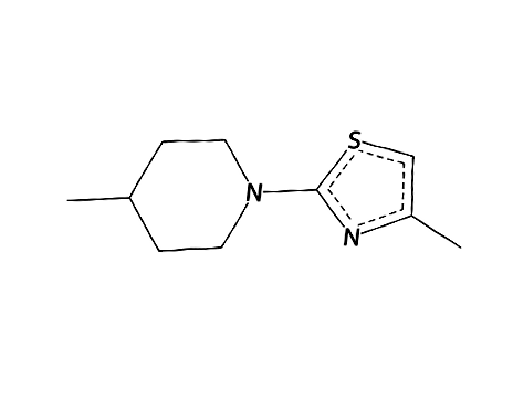 Cc1csc(N2CCC(C)CC2)n1